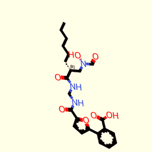 CCCCCC[C@H](CN(O)C=O)C(=O)NCNC(=O)c1ccc(-c2ccccc2C(=O)O)o1